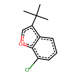 CC(C)(C)c1coc2c(Cl)cccc12